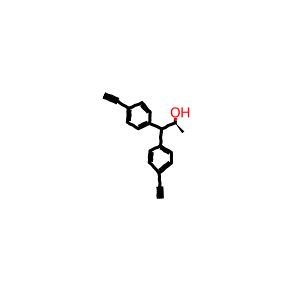 C#Cc1ccc(C(c2ccc(C#C)cc2)[C@H](C)O)cc1